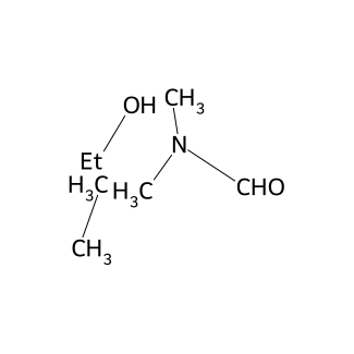 CC.CCO.CN(C)C=O